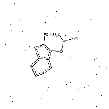 CCCC(Oc1c(C(C)=O)sc2ccccc12)C(=O)O